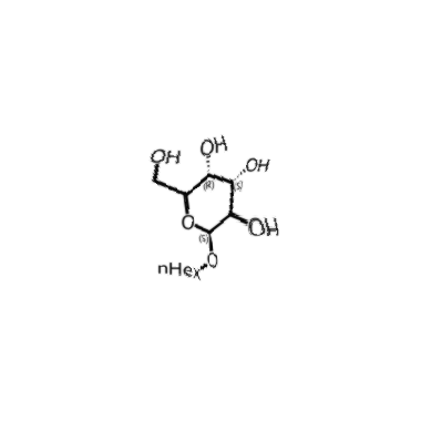 CCCCCCO[C@H]1OC(CO)[C@H](O)[C@H](O)C1O